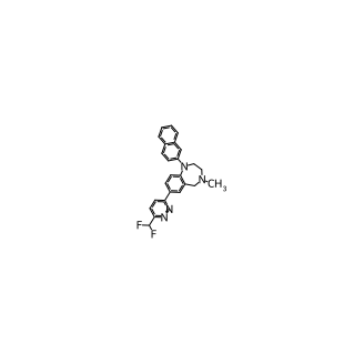 CN1CCN(c2ccc3ccccc3c2)c2ccc(-c3ccc(C(F)F)nn3)cc2C1